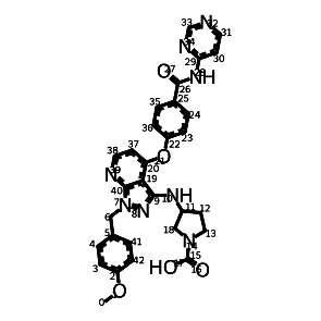 COc1ccc(Cn2nc(NC3CCN(C(=O)O)C3)c3c(Oc4ccc(C(=O)Nc5ccncn5)cc4)ccnc32)cc1